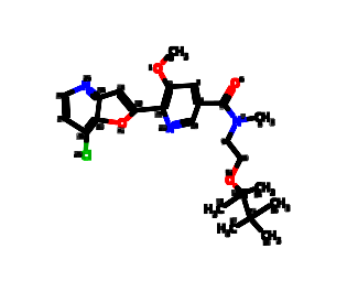 COc1cc(C(=O)N(C)CCO[Si](C)(C)C(C)(C)C)cnc1-c1cc2nccc(Cl)c2o1